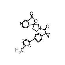 Cc1nc(-c2ccc(C3(C(=O)N4CCC5(C4)OC(=O)c4cnccc45)CC3)cc2)cs1